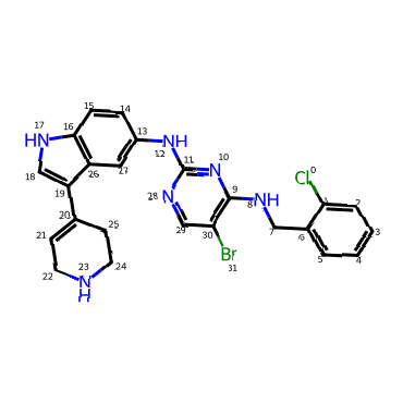 Clc1ccccc1CNc1nc(Nc2ccc3[nH]cc(C4=CCNCC4)c3c2)ncc1Br